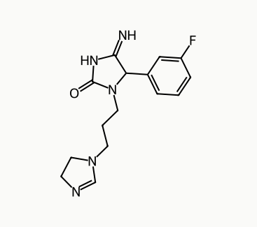 N=C1NC(=O)N(CCCN2C=NCC2)C1c1cccc(F)c1